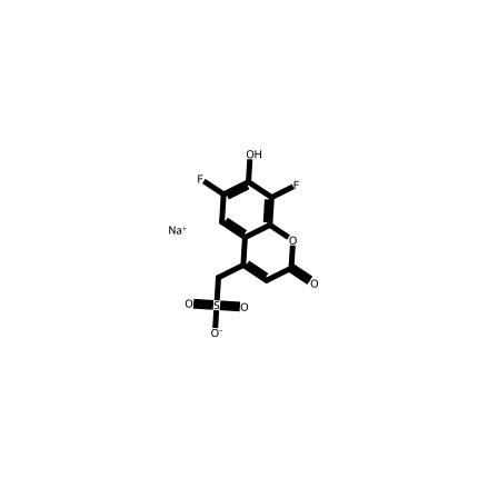 O=c1cc(CS(=O)(=O)[O-])c2cc(F)c(O)c(F)c2o1.[Na+]